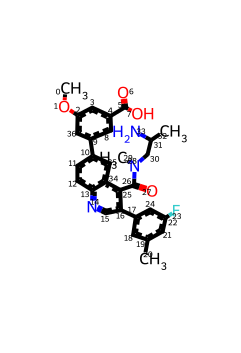 COc1cc(C(=O)O)cc(-c2ccc3ncc(-c4cc(C)cc(F)c4)c(C(=O)N(C)CC(C)N)c3c2)c1